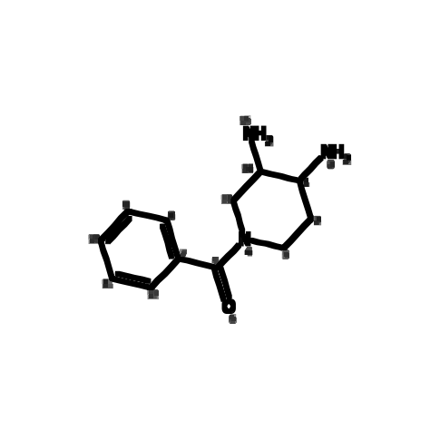 NC1CCN(C(=O)c2ccccc2)CC1N